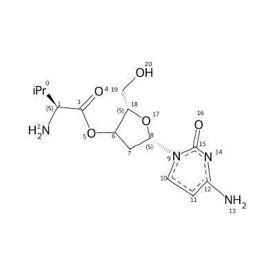 CC(C)[C@H](N)C(=O)OC1C[C@@H](n2ccc(N)nc2=O)O[C@H]1CO